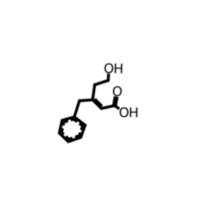 O=C(O)C=C(CCO)Cc1ccccc1